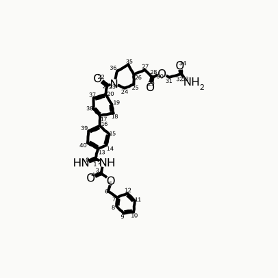 N=C(NC(=O)OCc1ccccc1)c1ccc(-c2ccc(C(=O)N3CCC(CC(=O)OCC(N)=O)CC3)cc2)cc1